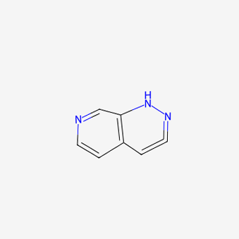 C1=Cc2ccncc2NN=1